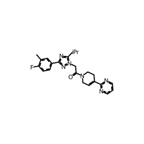 Cc1cc(-c2nc(C(C)C)n(CC(=O)N3CC=C(c4ncccn4)CC3)n2)ccc1F